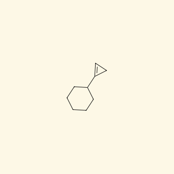 C1=C(C2CCCCC2)C1